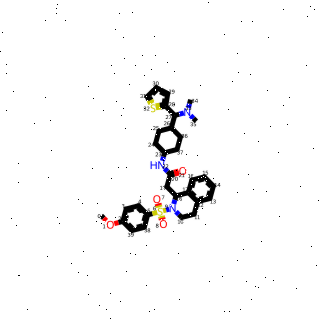 COc1ccc(S(=O)(=O)N2CCc3ccccc3C2CC(=O)NC2CCC(C(c3cccs3)N(C)C)CC2)cc1